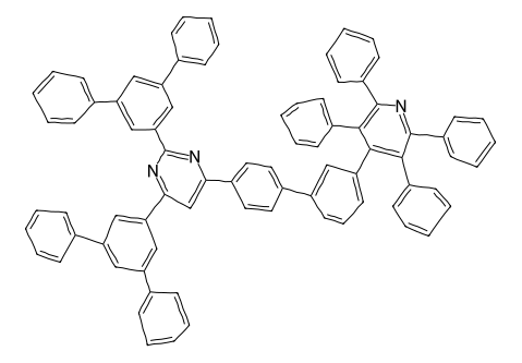 c1ccc(-c2cc(-c3ccccc3)cc(-c3cc(-c4ccc(-c5cccc(-c6c(-c7ccccc7)c(-c7ccccc7)nc(-c7ccccc7)c6-c6ccccc6)c5)cc4)nc(-c4cc(-c5ccccc5)cc(-c5ccccc5)c4)n3)c2)cc1